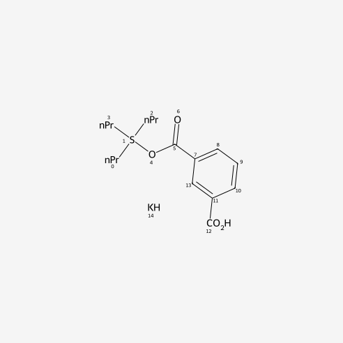 CCCS(CCC)(CCC)OC(=O)c1cccc(C(=O)O)c1.[KH]